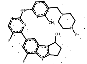 CCN1CCN(Cc2ccc(Nc3ncc(F)c(-c4cc(F)c5nc6n(c5c4)C(C)CC6)n3)nc2C)CC1